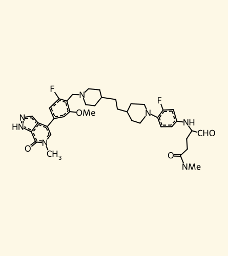 CNC(=O)CCC(C=O)Nc1ccc(N2CCC(CCC3CCN(Cc4c(F)cc(-c5cn(C)c(=O)c6[nH]ncc56)cc4OC)CC3)CC2)c(F)c1